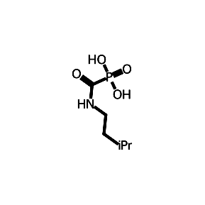 CC(C)CCNC(=O)P(=O)(O)O